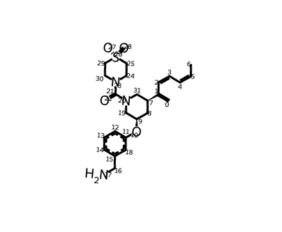 C=C(/C=C\C=C/C)[C@H]1C[C@@H](Oc2cccc(CN)c2)CN(C(=O)N2CCS(=O)(=O)CC2)C1